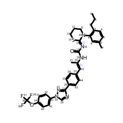 CCCc1ccc(C)cc1N1CCCS/C1=N\C(=O)N/C(C)=C/c1ccc(-c2ncn(-c3ccc(OC(F)(F)F)cc3)n2)cc1